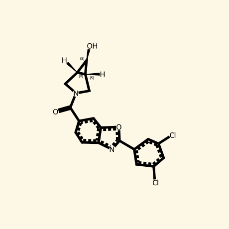 O=C(c1ccc2nc(-c3cc(Cl)cc(Cl)c3)oc2c1)N1C[C@@H]2[C@@H](O)[C@@H]2C1